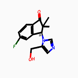 CC1(C)C(=O)c2ccc(F)cc2[C@@H]1n1cncc1CO